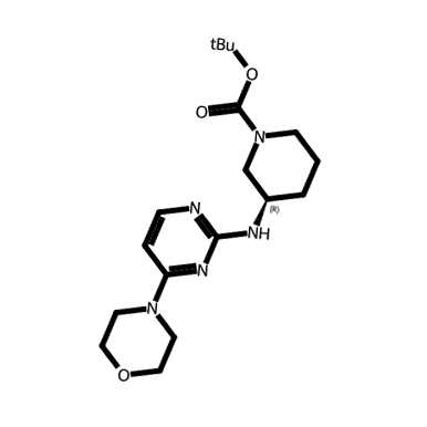 CC(C)(C)OC(=O)N1CCC[C@@H](Nc2nccc(N3CCOCC3)n2)C1